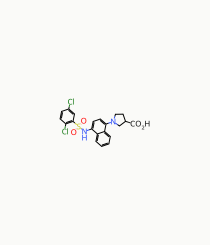 O=C(O)C1CCN(c2ccc(NS(=O)(=O)c3cc(Cl)ccc3Cl)c3ccccc23)C1